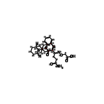 NC(=O)CCC(=NOCC(=O)O)c1nc2ccccc2n([C@H]2C[C@H]3CCC[C@@H](C2)N3C2CC3CCCC(C3)C2)c1=O